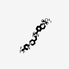 CS(=O)(=O)N1CCc2cc(-c3nc(CC4CCN(c5ccc(C(F)(F)F)cn5)CC4)no3)ccc2C1